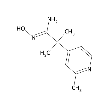 Cc1cc(C(C)(C)/C(N)=N/O)ccn1